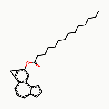 CCCCCCCCCCCCCC(=O)Oc1cc2c3cccc-3cccc2c2c1C2